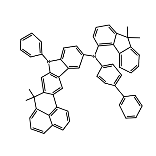 CC1(C)c2ccccc2-c2c(N(c3ccc(-c4ccccc4)cc3)c3ccc4c(c3)c3cc5c(cc3n4-c3ccccc3)C(C)(C)c3cccc4cccc-5c34)cccc21